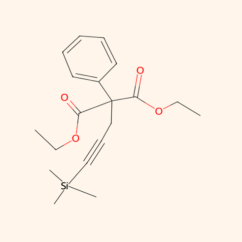 CCOC(=O)C(CC#C[Si](C)(C)C)(C(=O)OCC)c1ccccc1